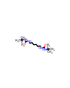 CC(C)(C)NC(=O)NCCCCCCNC(=O)NC(C)(C)C